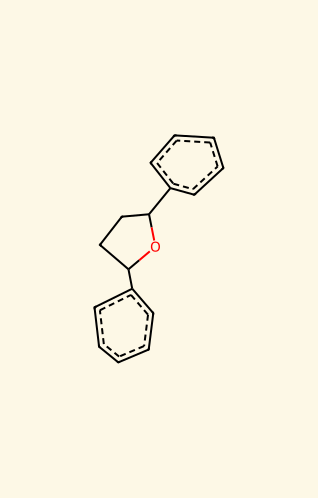 c1ccc(C2CCC(c3ccccc3)O2)cc1